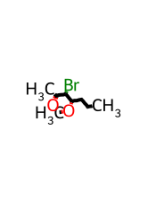 CCCC(OC)C(Br)C(C)=O